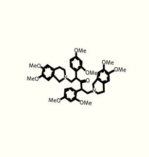 COc1ccc(C(CN2CCc3cc(OC)c(OC)cc3C2)C(=O)C(CN2CCc3cc(OC)c(OC)cc3C2)c2ccc(OC)cc2OC)c(OC)c1